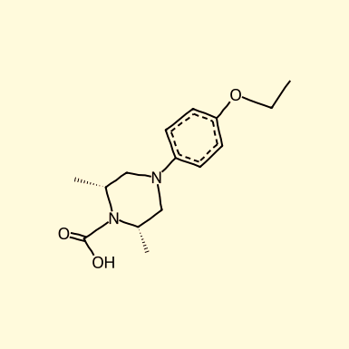 CCOc1ccc(N2C[C@@H](C)N(C(=O)O)[C@@H](C)C2)cc1